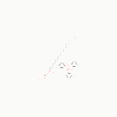 CCCCCCCCCCCCCCCCCC(=O)OCC(O)CO.c1ccc(OP(Oc2ccccc2)Oc2ccccc2)cc1